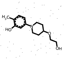 Cc1ccc(N2CCC(OCCO)CC2)cc1O